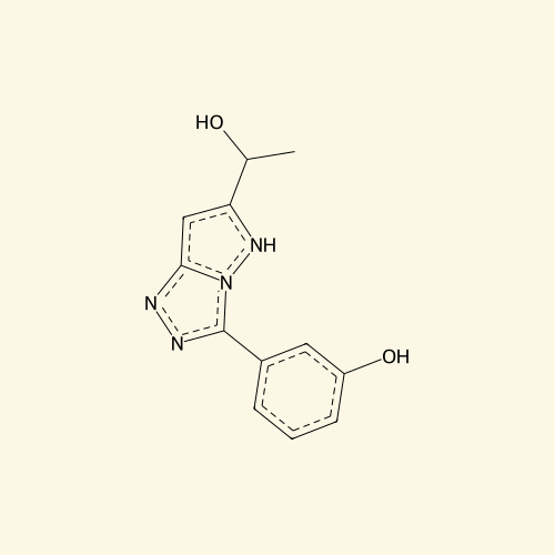 CC(O)c1cc2nnc(-c3cccc(O)c3)n2[nH]1